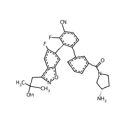 CC(C)(O)Cc1noc2cc(-c3c(-c4cccc(C(=O)N5CC[C@H](N)C5)c4)ccc(C#N)c3F)c(F)cc12